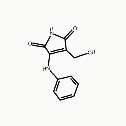 O=C1NC(=O)C(Nc2ccccc2)=C1CO